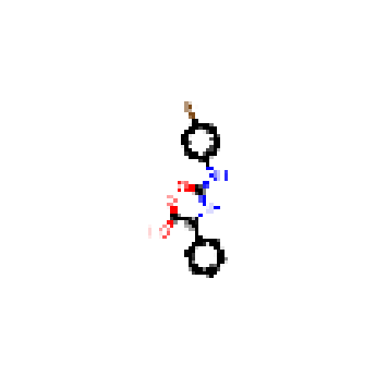 O=C(Nc1ccc(Br)cc1)N[C@H](C(=O)O)c1ccccc1